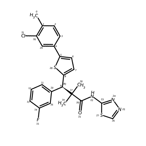 Cc1ccc(-c2ccc([C@H](c3cccc(F)c3)C(C)(C)C(=O)Nc3nncs3)s2)cc1Cl